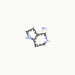 N.c1cc2[nH]ccc2cn1